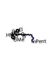 CCCCC/C=C\C/C=C\C/C=C\CCCCC(=O)OCCCOC(=O)C(C(=O)c1ccc(Cl)cc1)c1c(C)[nH]c2ccc(OC)cc12